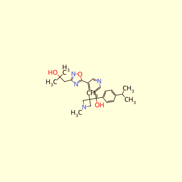 CC(C)c1ccc(C(O)(c2cncc(-c3nc(CC(C)(C)O)no3)c2)C2(C)CN(C)C2)cc1